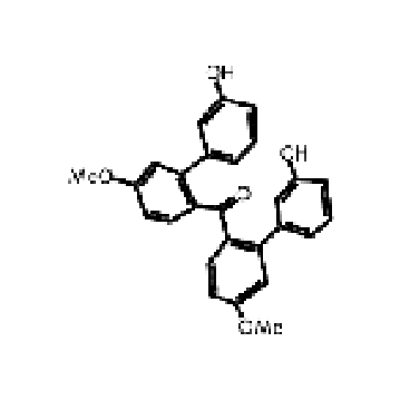 COc1ccc(C(=O)c2ccc(OC)cc2-c2cccc(O)c2)c(-c2cccc(O)c2)c1